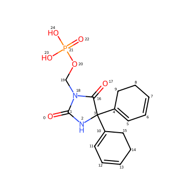 O=C1NC(C2=CC=CCC2)(C2=CC=CCC2)C(=O)N1COP(=O)(O)O